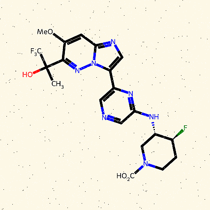 COc1cc2ncc(-c3cncc(N[C@H]4CN(C(=O)O)CC[C@@H]4F)n3)n2nc1C(C)(O)C(F)(F)F